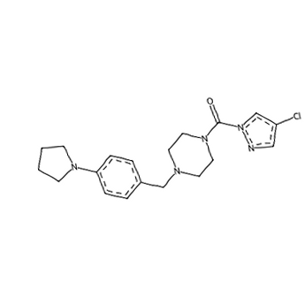 O=C(N1CCN(Cc2ccc(N3CCCC3)cc2)CC1)n1cc(Cl)cn1